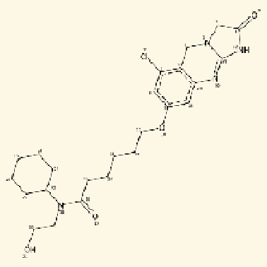 O=C1CN2Cc3c(Cl)cc(OCCCCCC(=O)N(CCO)C4CCCCC4)cc3N=C2N1